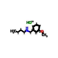 CCCCNCc1cccc(OC)c1.Cl